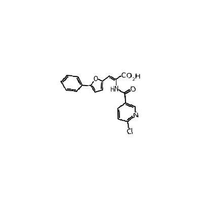 O=C(O)C(=Cc1ccc(-c2ccccc2)o1)NC(=O)c1ccc(Cl)nc1